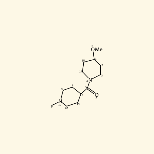 COC1CCN(C(=O)C2CCN(C)CC2)CC1